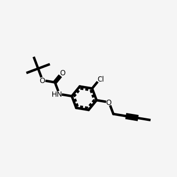 CC#CCOc1ccc(NC(=O)OC(C)(C)C)cc1Cl